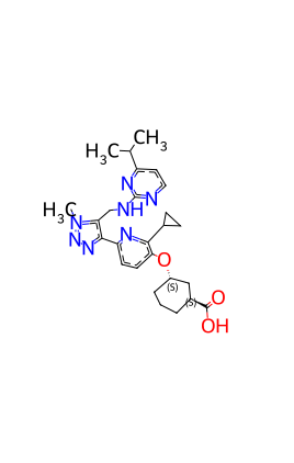 CC(C)c1ccnc(NCc2c(-c3ccc(O[C@H]4CCC[C@H](C(=O)O)C4)c(C4CC4)n3)nnn2C)n1